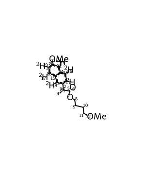 [2H]c1c([C@H](C)C(=O)OCCCCOC)c([2H])c2c([2H])c([2H])c(OC)c([2H])c2c1[2H]